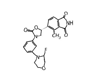 Cc1c([C@@H]2CN(c3cccc(N4CCOCC4F)c3)C(=O)O2)ccc2c1C(=O)NC2=O